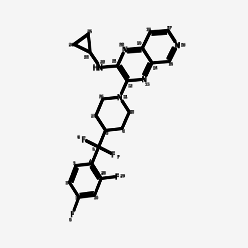 Fc1ccc(C(F)(F)C2CCN(c3nc4cnccc4nc3NC3CC3)CC2)c(F)c1